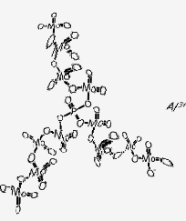 O=P([O][Mo](=[O])(=[O])[O][Mo](=[O])(=[O])[O][Mo](=[O])(=[O])[O][Mo](=[O])(=[O])[O-])([O][Mo](=[O])(=[O])[O][Mo](=[O])(=[O])[O][Mo](=[O])(=[O])[O][Mo](=[O])(=[O])[O-])[O][Mo](=[O])(=[O])[O][Mo](=[O])(=[O])[O][Mo](=[O])(=[O])[O][Mo](=[O])(=[O])[O-].[Al+3]